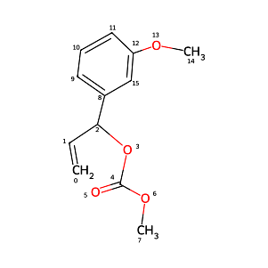 C=CC(OC(=O)OC)c1cccc(OC)c1